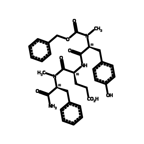 CN(C(=O)OCc1ccccc1)[C@@H](Cc1ccc(O)cc1)C(=O)N[C@@H](CCC(=O)O)C(=O)N(C)[C@@H](Cc1ccccc1)C(N)=O